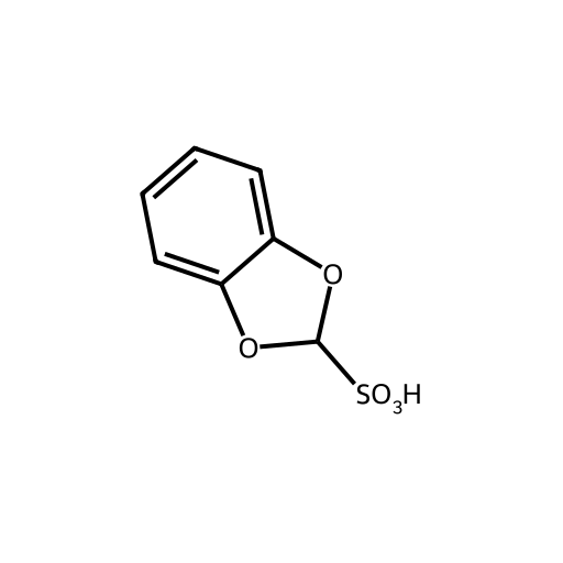 O=S(=O)(O)C1Oc2ccccc2O1